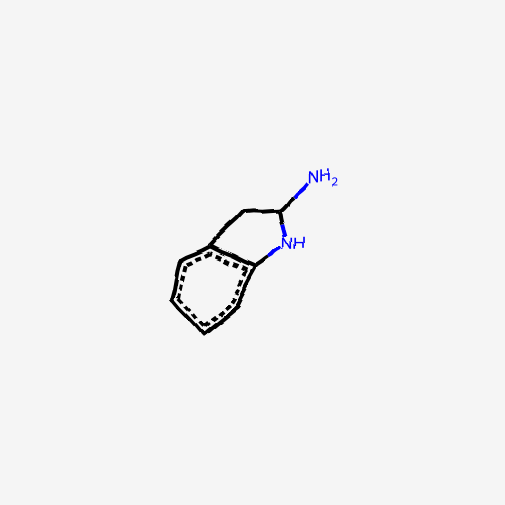 NC1Cc2ccccc2N1